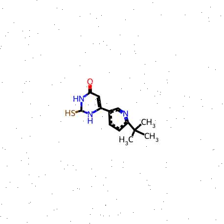 CC(C)(C)c1ccc(C2=CC(=O)NC(S)N2)cn1